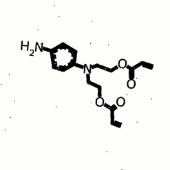 C=CC(=O)OCCN(CCOC(=O)C=C)c1ccc(N)cc1